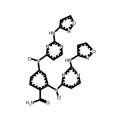 NC(=O)c1ccc(N(Cl)c2ccnc(Nc3ccon3)n2)cc1N(Cl)c1ccnc(Nc2ccon2)n1